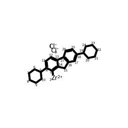 [Cl-].[Cl-].[Zr+2][c]1c(C2CCCCC2)ccc2c1Cc1cc(C3CCCCC3)ccc1-2